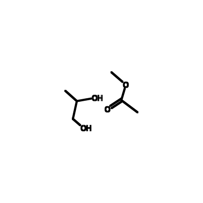 CC(O)CO.COC(C)=O